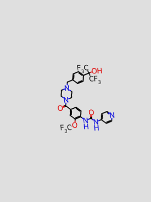 O=C(Nc1ccncc1)Nc1ccc(C(=O)N2CCN(Cc3ccc(C(O)(C(F)(F)F)C(F)(F)F)cc3)CC2)cc1OC(F)(F)F